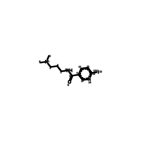 CN(C)CCCNC(=O)c1ccc([131I])nc1